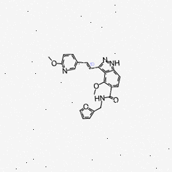 COc1ccc(/C=C/c2n[nH]c3ccc(C(=O)NCc4ccco4)c(OC)c23)cn1